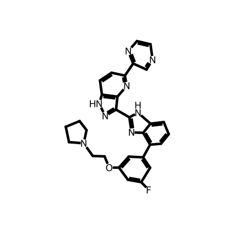 Fc1cc(OCCN2CCCC2)cc(-c2cccc3[nH]c(-c4n[nH]c5ccc(-c6cnccn6)nc45)nc23)c1